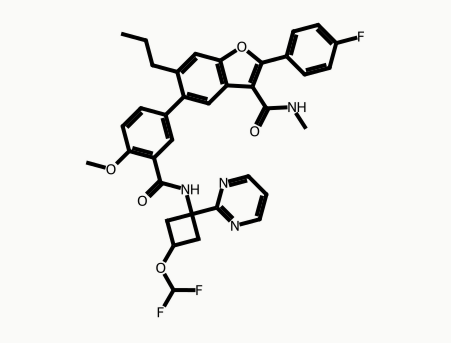 CCCc1cc2oc(-c3ccc(F)cc3)c(C(=O)NC)c2cc1-c1ccc(OC)c(C(=O)NC2(c3ncccn3)CC(OC(F)F)C2)c1